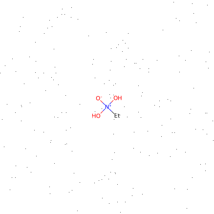 CC[N+]([O-])(O)O